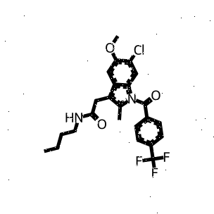 CCCCNC(=O)Cc1c(C)n(C(=O)c2ccc(C(F)(F)F)cc2)c2cc(Cl)c(OC)cc12